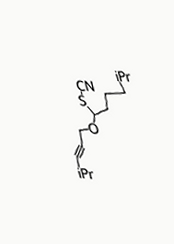 CC(C)C#CCOC(CCCC(C)C)SC#N